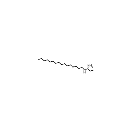 CCCCCCCCCCCCOCCCNC(N)CC